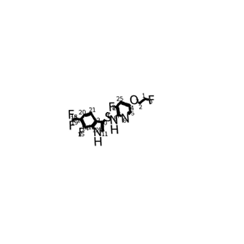 FCCOc1cnc(NSc2c[nH]c3c(F)c(C(F)F)ccc23)c(F)c1